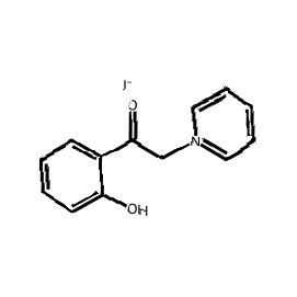 O=C(C[n+]1ccccc1)c1ccccc1O.[I-]